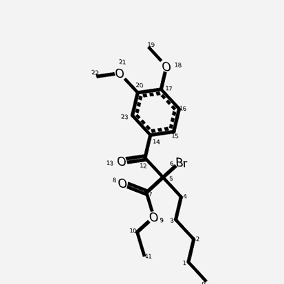 CCCCCC(Br)(C(=O)OCC)C(=O)c1ccc(OC)c(OC)c1